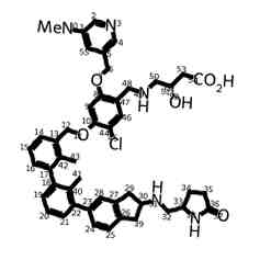 CNc1cncc(COc2cc(OCc3cccc(-c4cccc(-c5ccc6c(c5)CC(NCC5CCC(=O)N5)C6)c4C)c3C)c(Cl)cc2CNC[C@@H](O)CC(=O)O)c1